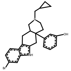 Oc1cccc(C23CCN(CC4CC4)CC2Cc2c([nH]c4cc(Br)ccc24)C3)c1